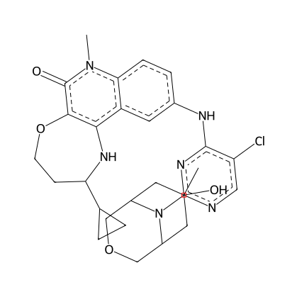 Cn1c(=O)c2c(c3cc(Nc4nc(N5C6COCC5CC(C)(O)C6)ncc4Cl)ccc31)NC(C1CC1)CCO2